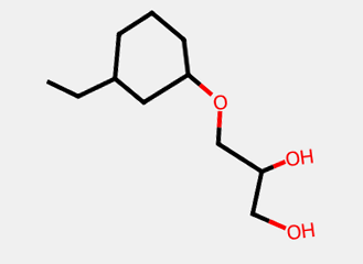 CCC1CCCC(OCC(O)CO)C1